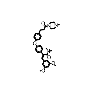 COc1cc(C=C(C(=O)N(C)C)c2ccc(Oc3ccc(CCC(=O)N4CCN(C)CC4)cc3)cc2)cc(OC)c1